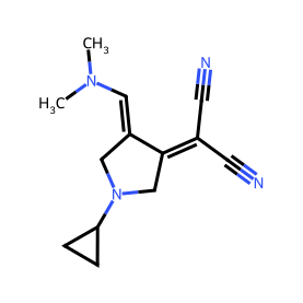 CN(C)C=C1CN(C2CC2)CC1=C(C#N)C#N